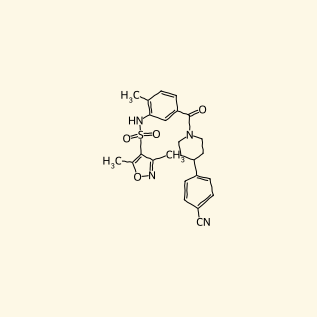 Cc1ccc(C(=O)N2CCC(c3ccc(C#N)cc3)CC2)cc1NS(=O)(=O)c1c(C)noc1C